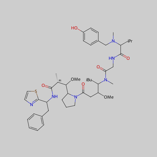 CCC(C)C(C(CC(=O)N1CCCC1C(OC)[C@@H](C)C(=O)NC(Cc1ccccc1)c1nccs1)OC)N(C)C(=O)CNC(=O)C(C(C)C)N(C)Cc1ccc(O)cc1